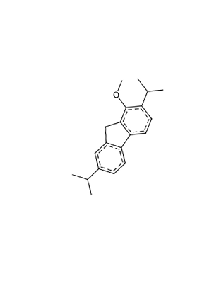 COc1c(C(C)C)ccc2c1Cc1cc(C(C)C)ccc1-2